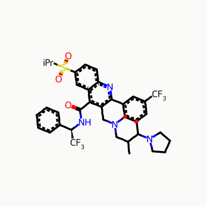 CC1CN(Cc2c(-c3cccc(C(F)(F)F)c3)nc3ccc(S(=O)(=O)C(C)C)cc3c2C(=O)N[C@H](c2ccccc2)C(F)(F)F)CCC1N1CCCC1